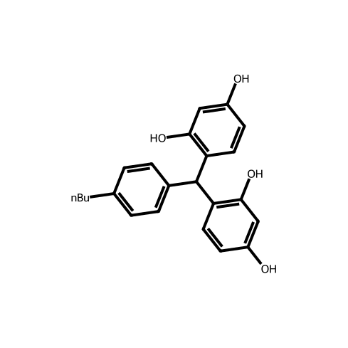 CCCCc1ccc(C(c2ccc(O)cc2O)c2ccc(O)cc2O)cc1